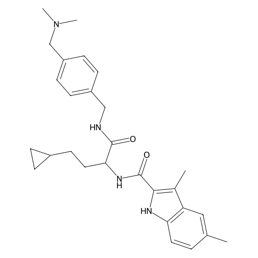 Cc1ccc2[nH]c(C(=O)NC(CCC3CC3)C(=O)NCc3ccc(CN(C)C)cc3)c(C)c2c1